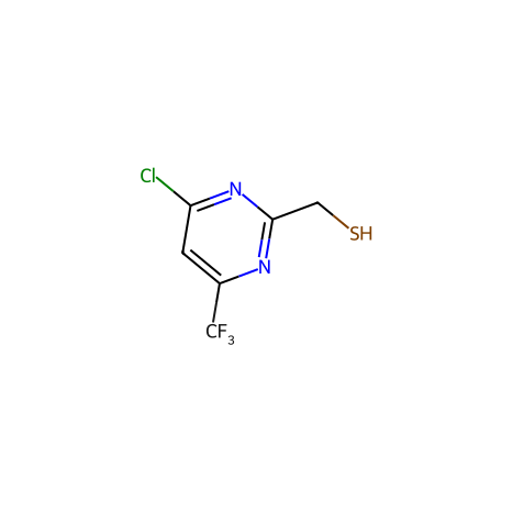 FC(F)(F)c1cc(Cl)nc(CS)n1